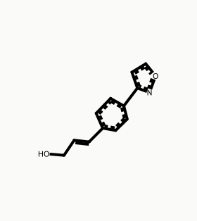 OCC=Cc1ccc(-c2ccon2)cc1